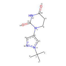 CC(C)(C)n1cc(N2CCC(=O)NC2=O)cn1